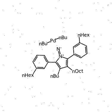 CCCCCCCCC1=C(c2cccc(CCCCCC)c2)[N+](=[N-])C(c2cccc(CCCCCC)c2)=C1CCCC.CCC[CH2][Pd][CH2]CCC